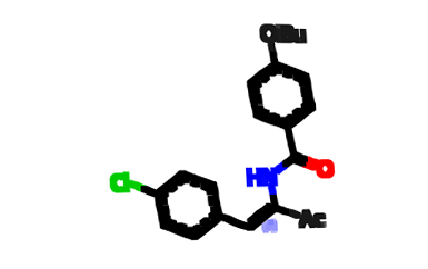 CC(=O)/C(=C/c1ccc(Cl)cc1)NC(=O)c1ccc(OCC(C)C)cc1